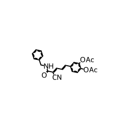 CC(=O)Oc1ccc(/C=C/C=C(\C#N)C(=O)NCc2ccccc2)cc1OC(C)=O